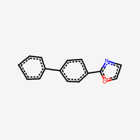 c1ccc(-c2ccc(-c3ncco3)cc2)cc1